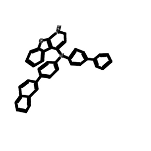 C1=C(N(c2ccc(-c3ccccc3)cc2)c2ccc(-c3ccc4ccccc4c3)cc2)c2c(oc3ccccc23)NC1